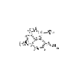 Cc1cnc2[nH]cc(C)c2c1CF